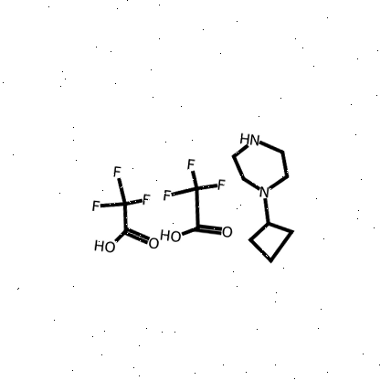 C1CC(N2CCNCC2)C1.O=C(O)C(F)(F)F.O=C(O)C(F)(F)F